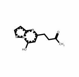 CC(=O)CCc1cc(O)n2nccc2n1